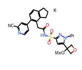 COC1(c2cc(S(=O)(=O)NC(=O)Cc3c(-c4ccnc(C#N)c4)ccc4c3CCC4)nn2C(C)C)COC1.[K]